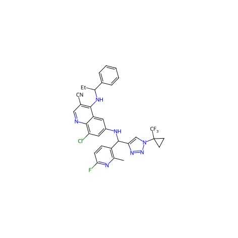 CCC(Nc1c(C#N)cnc2c(Cl)cc(NC(c3cn(C4(C(F)(F)F)CC4)nn3)c3ccc(F)nc3C)cc12)c1ccccc1